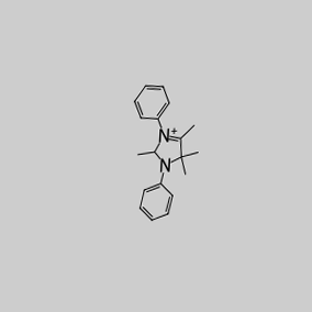 CC1=[N+](c2ccccc2)C(C)N(c2ccccc2)C1(C)C